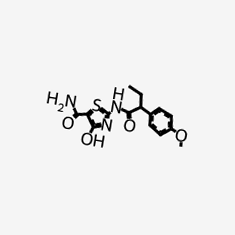 CCC(C(=O)Nc1nc(O)c(C(N)=O)s1)c1ccc(OC)cc1